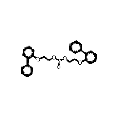 O=S(OCCOc1ccccc1-c1ccccc1)OCCOc1ccccc1-c1ccccc1